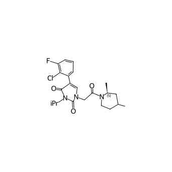 CC1CCN(C(=O)Cn2cc(-c3cccc(F)c3Cl)c(=O)n(C(C)C)c2=O)[C@@H](C)C1